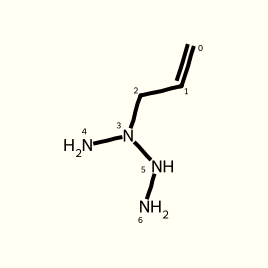 C=CCN(N)NN